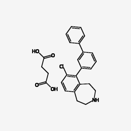 Clc1ccc2c(c1-c1cccc(-c3ccccc3)c1)CCNCC2.O=C(O)CCC(=O)O